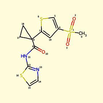 CS(=O)(=O)c1csc(C2(C(=O)Nc3nccs3)CC2)c1